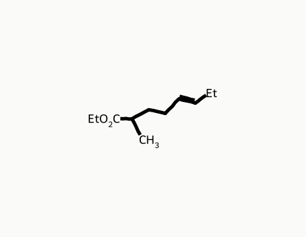 CCC=CCCC(C)C(=O)OCC